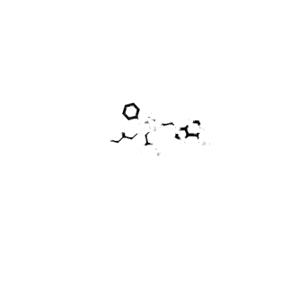 CC(C)OC(=O)[C@H](CCC(=O)CI)NP(=O)(OCCn1cnc2c(N)ncnc21)Oc1ccccc1